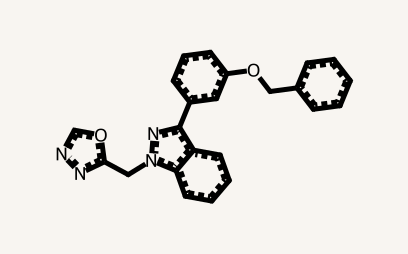 c1ccc(COc2cccc(-c3nn(Cc4nnco4)c4ccccc34)c2)cc1